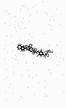 Cc1cc(N(C)C(=O)OC(C)(C)C)cc(C)c1CCS(=O)(=O)N1CCC2(CC1)N=C(c1ccc3c(c1)CCCC3)NC2=O